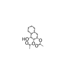 CC(=O)Oc1cc2ccccc2c(O)c1OC(C)=O